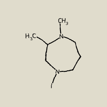 CC1CN(I)CCCN1C